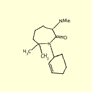 CNC1CCCC(C)(C)N(C2C=CCCC2)C1=O